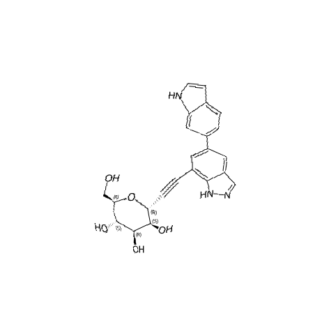 OC[C@H]1O[C@H](C#Cc2cc(-c3ccc4cc[nH]c4c3)cc3cn[nH]c23)[C@@H](O)[C@@H](O)[C@@H]1O